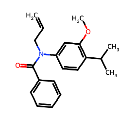 C=CCN(C(=O)c1ccccc1)c1ccc(C(C)C)c(OC)c1